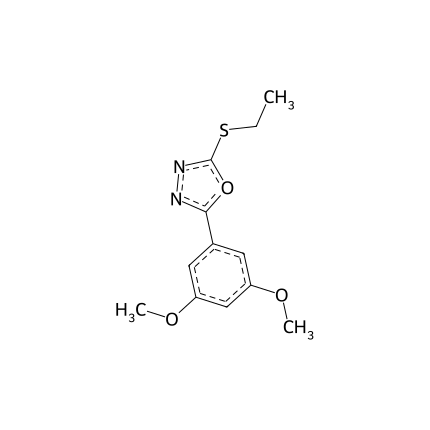 CCSc1nnc(-c2cc(OC)cc(OC)c2)o1